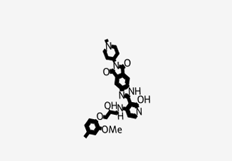 COc1cc(C)ccc1OC[C@H](O)CNc1ccnc(O)c1-c1nc2cc3c(cc2[nH]1)C(=O)N(C1CCN(C)CC1)C3=O